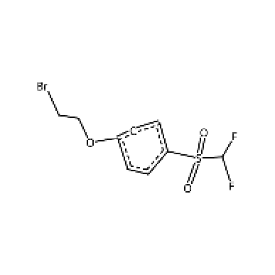 O=S(=O)(c1ccc(OCCBr)cc1)C(F)F